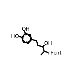 CCCCCC(C)C(O)CCc1ccc(O)c(O)c1